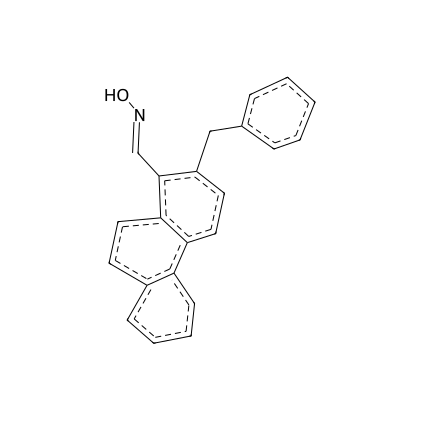 ON=Cc1c(Cc2ccccc2)ccc2c1ccc1ccccc12